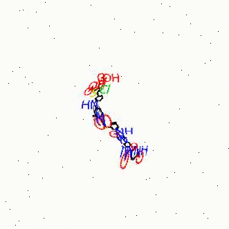 Cn1c(=O)n(C2CCC(=O)NC2=O)c2ccc(N3CCN(C(=O)Nc4cccc(CS(=O)(=O)N5CC[C@H](Nc6cccc(-c7sc(C(=O)O)c(OCC(=O)O)c7Cl)c6)CC5(C)C)c4)CC3)cc21